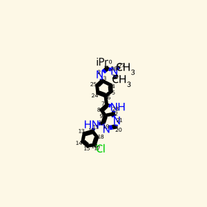 CC(C)C(=Nc1ccc(-c2cc3c(Nc4cccc(Cl)c4)ncnc3[nH]2)cc1)N(C)C